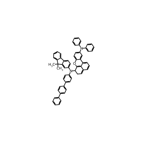 CC1(C)c2ccccc2-c2ccc(N(c3ccc(-c4ccc(-c5ccccc5)cc4)cc3)C3CC=c4cccc5c4=C3Oc3ccc(N(c4ccccc4)c4ccccc4)cc3-5)cc21